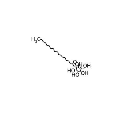 CCCCCCCCCCCCCCCCCC(=O)C[C@@]1(O)O[C@H](CO)[C@H](O)[C@H](O)[C@H]1O